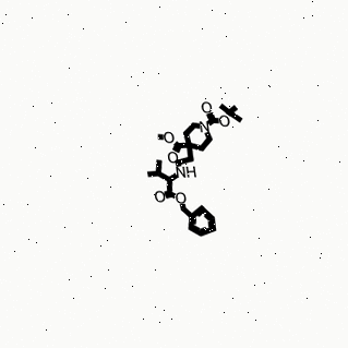 COC(=O)C1(CCNC(C(=O)OCc2ccccc2)C(C)C)CCN(C(=O)OC(C)(C)C)CC1